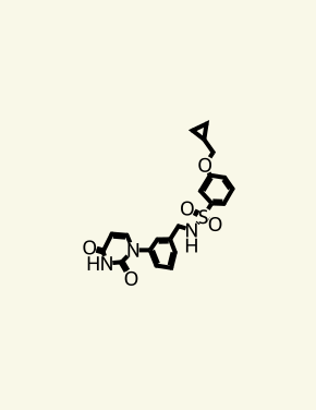 O=c1ccn(-c2cccc(CNS(=O)(=O)c3cccc(OCC4CC4)c3)c2)c(=O)[nH]1